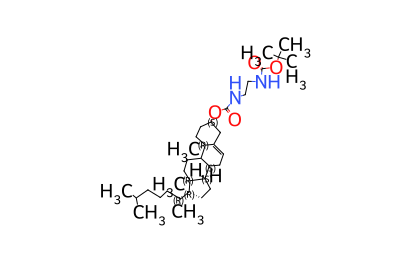 CC(C)CCC[C@@H](C)[C@H]1CC[C@H]2[C@@H]3CC=C4C[C@@H](OC(=O)NCCNC(=O)OC(C)(C)C)CC[C@]4(C)C3CC[C@]12C